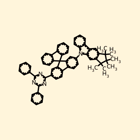 CC1(C)c2cc3c4ccccc4n(-c4ccc5c(c4)C4(c6ccccc6-c6ccccc64)c4cc(-c6nc(-c7ccccc7)nc(-c7ccccc7)n6)ccc4-5)c3cc2C(C)(C)C1(C)C